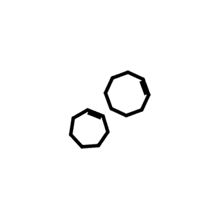 C1=CCCCCC1.C1=CCCCCCC1